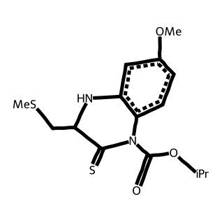 COc1ccc2c(c1)NC(CSC)C(=S)N2C(=O)OC(C)C